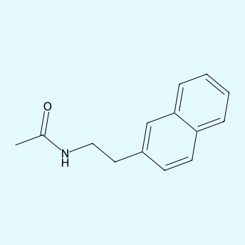 CC(=O)NCCc1ccc2ccccc2c1